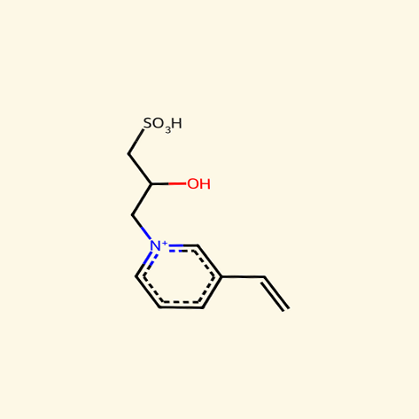 C=Cc1ccc[n+](CC(O)CS(=O)(=O)O)c1